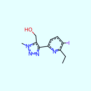 CCc1nc(-c2nnn(C)c2CO)ccc1I